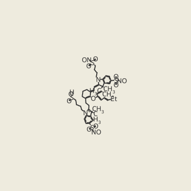 C\C=C/C(=C\C=C\CC)OC1=C(CCC2=[N+](CCCC[SH](=O)=O)c3ccc(S(=O)(=O)N=O)cc3C2(C)C)CCC/C1=C\C=C1\N(CCCCS(=O)(=O)N=O)c2ccc(S(=O)(=O)N=O)cc2C1(C)C